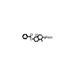 CCC[C@H](C)[C@@H]1CC[C@@H]2C[C@H](OC(=O)c3ccccc3)CC[C@]2(C)C1C